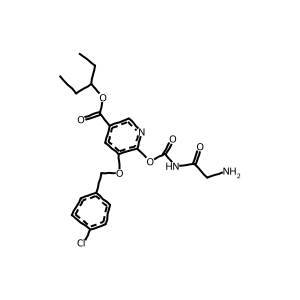 CCC(CC)OC(=O)c1cnc(OC(=O)NC(=O)CN)c(OCc2ccc(Cl)cc2)c1